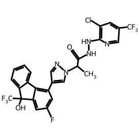 CC(C(=O)NNc1ncc(C(F)(F)F)cc1Cl)n1cc(-c2cc(F)cc3c2-c2ccccc2C3(O)C(F)(F)F)cn1